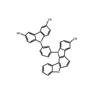 N#Cc1ccc2c(c1)c1cc(C#N)ccc1n2-c1cccc(-n2c3ccc(C#N)cc3c3ccc4oc5ccccc5c4c32)c1